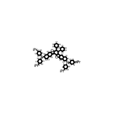 CC(C)c1ccc(N(c2ccc(C(C)C)cc2)c2ccc3cc4c(cc3c2)oc2c4c(-c3ccccc3)c(-c3ccccc3)c3oc4cc5cc(N(c6ccc(C(C)C)cc6)c6ccc(C(C)C)cc6)ccc5cc4c32)cc1